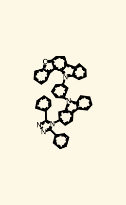 c1ccc(-c2nnc(-c3ccccc3)n2-c2ccc3c4ccccc4n(-c4cccc(-n5c6ccccc6c6ccc7oc8ccccc8c7c65)c4)c3c2)cc1